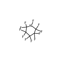 [F][Al]1[C](F)(F)C(F)(F)C(F)(F)C(F)(F)[C]1(F)F